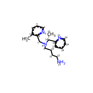 Cc1cccnc1CN(CCCCN)[C@H](C)c1ccccn1